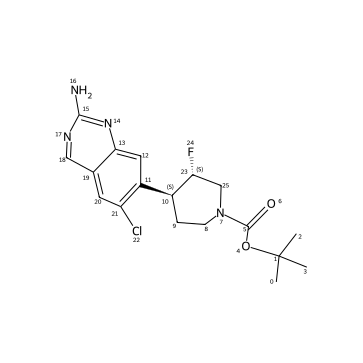 CC(C)(C)OC(=O)N1CC[C@@H](c2cc3nc(N)ncc3cc2Cl)[C@H](F)C1